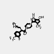 CC(C)NC[C@@H](C(=O)N1CCN(c2n[nH]c3c2[C@H](C)C[C@@H]3O)CC1)c1ccc(C(F)(F)F)c(F)c1